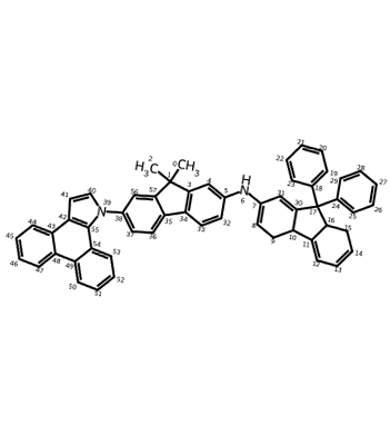 CC1(C)c2cc(NC3=CCC4C5=CC=CCC5C(c5ccccc5)(c5ccccc5)C4=C3)ccc2-c2ccc(-n3ccc4c5ccccc5c5ccccc5c43)cc21